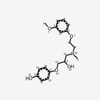 COc1cccc(OCCN(C)CC(O)COc2ccc(O)cc2)c1